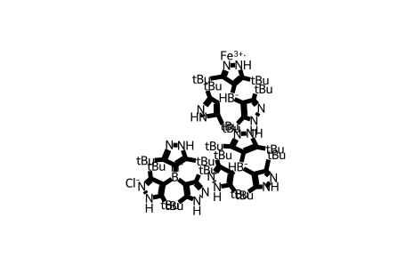 CC(C)(C)c1n[nH]c(C(C)(C)C)c1[BH-](c1c(C(C)(C)C)n[nH]c1C(C)(C)C)c1c(C(C)(C)C)n[nH]c1C(C)(C)C.CC(C)(C)c1n[nH]c(C(C)(C)C)c1[BH-](c1c(C(C)(C)C)n[nH]c1C(C)(C)C)c1c(C(C)(C)C)n[nH]c1C(C)(C)C.CC(C)(C)c1n[nH]c(C(C)(C)C)c1[BH-](c1c(C(C)(C)C)n[nH]c1C(C)(C)C)c1c(C(C)(C)C)n[nH]c1C(C)(C)C.[Cl-].[Fe+3]